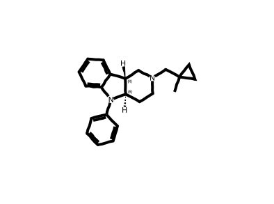 CC1(CN2CC[C@@H]3[C@@H](C2)c2ccccc2N3c2ccccc2)CC1